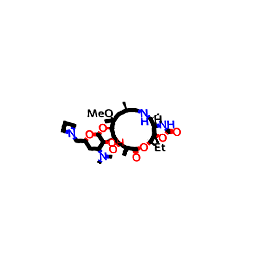 CC[C@H]1OC(=O)C(C)C(=O)[C@H](C)[C@@H](OC2OC(CN3CCC3)CC(N(C)C)C2O)[C@](C)(OC)C[C@@H](C)CN[C@H](C)[C@H]2NC(=O)O[C@@]21C